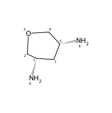 N[C@@H]1COC[C@H](N)C1